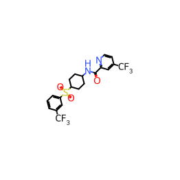 O=C(NC1CCC(S(=O)(=O)c2cccc(C(F)(F)F)c2)CC1)c1cc(C(F)(F)F)ccn1